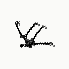 CCCCCCCCCCCCCCCC(=O)OCC(COOP(OC)OCC(COOP(=O)(OC)OCC(COC(=O)CCCCCCCCCCCCCCC)OC(=O)CCCCCCCCCCCCCCC)OCc1ccccc1)OC(=O)CCCCCCCCCCCCCCC